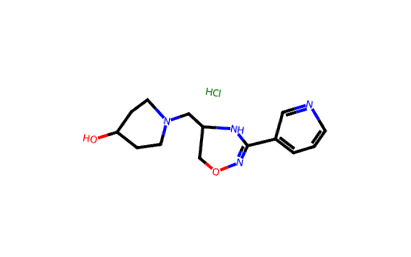 Cl.OC1CCN(CC2CON=C(c3cccnc3)N2)CC1